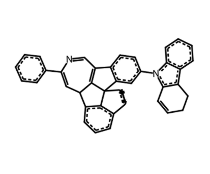 C1=Cc2c(c3ccccc3n2-c2ccc3c(c2)C24C5=C3C=NC(c3ccccc3)=CC5c3cccc(c32)-c2ccccc24)CC1